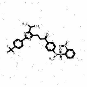 CC(C)c1nc(-c2ccc(C(F)(F)F)cc2)sc1CCC(=O)c1ccc(N(C)S(=O)(=O)c2ccccc2[N+](=O)[O-])cc1